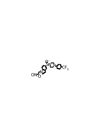 O=NC(=O)Cn1ccc2cc([S+]([O-])N3CCN(c4ccc(C(F)(F)F)cc4)CC3)ccc21